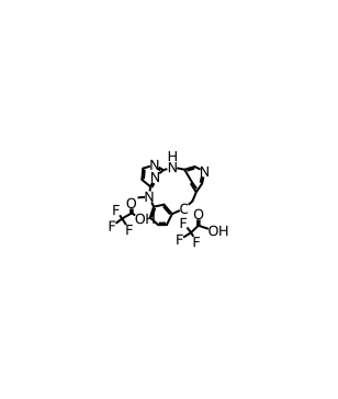 CN1c2cccc(c2)CCc2cncc(c2)Nc2nccc1n2.O=C(O)C(F)(F)F.O=C(O)C(F)(F)F